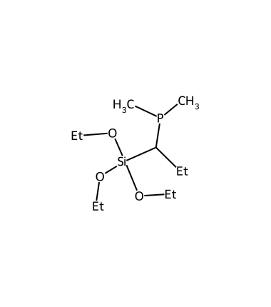 CCO[Si](OCC)(OCC)C(CC)P(C)C